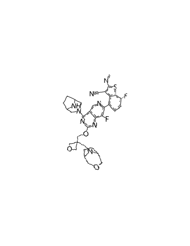 C=Nc1sc2c(F)ccc(-c3ncc4c(N5CC6CCC(C5)N6)nc(OCC5(CN6C7CCC6COC7)COC5)nc4c3F)c2c1C#N